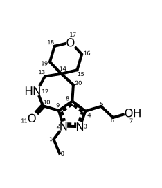 CCn1nc(CCO)c2c1C(=O)NCC1(CCOCC1)C2